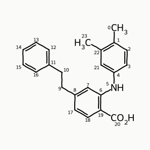 Cc1ccc(Nc2cc(CCc3ccccc3)ccc2C(=O)O)cc1C